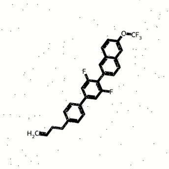 C=CCCc1ccc(-c2cc(F)c(-c3ccc4cc(OC(F)(F)F)ccc4c3)c(F)c2)cc1